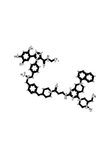 CCc1cc(-c2nnc(C(=O)NCC(F)(F)F)n2-c2ccc(CN(C)Cc3ccc(CC4CCN(C(=O)CCNc5nc6c(c(N7CCN(C(C)=O)C(CC#N)C7)n5)CCN(c5cccc7ccccc57)C6)CC4)cc3)cc2)c(O)cc1O